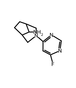 NC1C2CCC1CN(c1cc(F)ncn1)C2